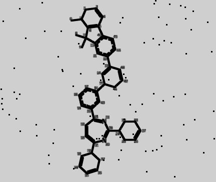 CC1CC=CC2=C1C(C)(C)c1cc(C3=CC(c4cccc(C5=NC(C6CC=CCC6)=NC(C6C=CC=CC6)=C=C5)c4)CC=C3)ccc12